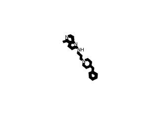 Cc1nccc2nc(NCCCN3CCC(Cc4ccccc4)CC3)ccc12